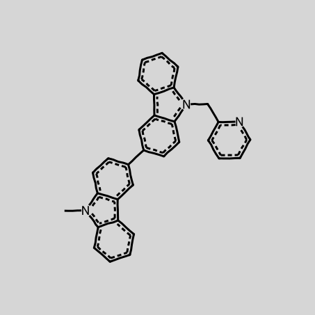 Cn1c2ccccc2c2cc(-c3ccc4c(c3)c3ccccc3n4Cc3ccccn3)ccc21